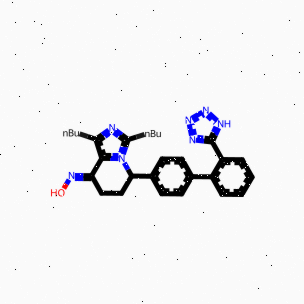 CCCCc1nc(CCCC)n2c1C(=NO)CCC2c1ccc(-c2ccccc2-c2nnn[nH]2)cc1